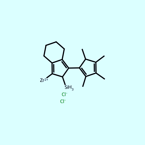 CC1=C(C)C(C)C(C2=C3CCCCC3=[C]([Zr+2])C2[SiH3])=C1C.[Cl-].[Cl-]